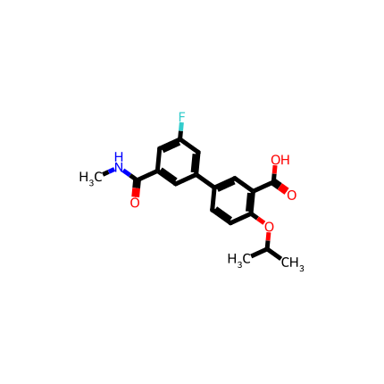 CNC(=O)c1cc(F)cc(-c2ccc(OC(C)C)c(C(=O)O)c2)c1